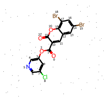 O=C(Oc1cncc(Cl)c1)c1cc2cc(Br)cc(Br)c2oc1=O